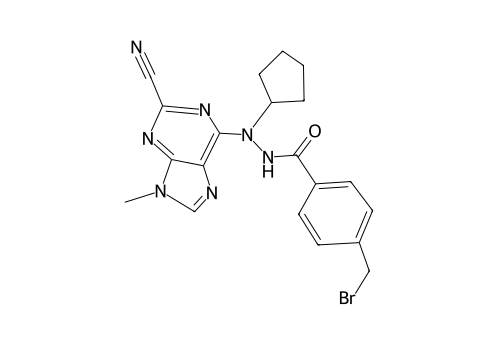 Cn1cnc2c(N(NC(=O)c3ccc(CBr)cc3)C3CCCC3)nc(C#N)nc21